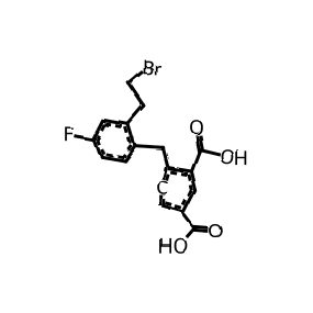 O=C(O)c1ccc(Cc2ccc(F)cc2CCBr)c(C(=O)O)c1